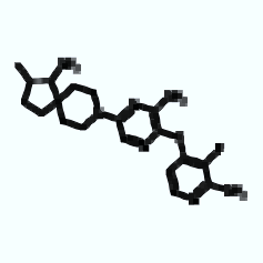 CC1CCC2(CCN(c3cnc(Sc4ccnc(N)c4F)c(N)n3)CC2)C1N